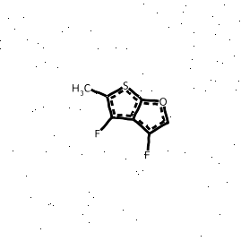 Cc1sc2occ(F)c2c1F